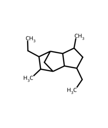 CCC1CC(C)C2C3CC(C(C)C3CC)C12